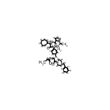 CCC(=O)N[C@H](Cc1ccc(NC(=O)[C@@H](NC(=O)c2ccnn2C(C)C)C2CCCCCC2)cc1)C(=O)N1CCN(Cc2ccccc2)CC1